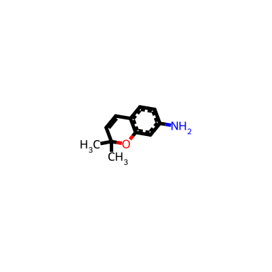 CC1(C)C=Cc2ccc(N)cc2O1